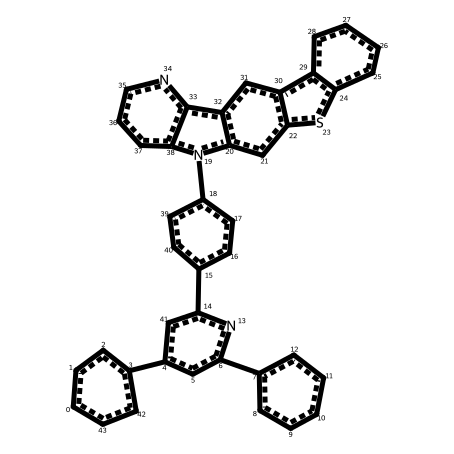 c1ccc(-c2cc(-c3ccccc3)nc(-c3ccc(-n4c5cc6sc7ccccc7c6cc5c5ncccc54)cc3)c2)cc1